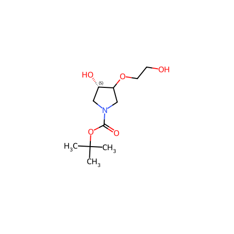 CC(C)(C)OC(=O)N1CC(OCCO)[C@@H](O)C1